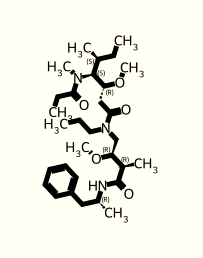 CCCN(C[C@H](OC)[C@@H](C)C(=O)N[C@H](C)Cc1ccccc1)C(=O)C[C@@H](OC)[C@H]([C@@H](C)CC)N(C)C(=O)CC